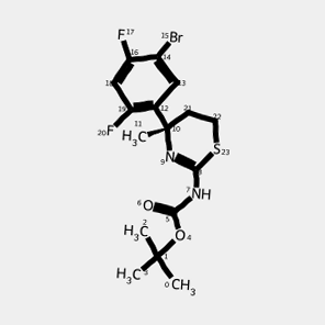 CC(C)(C)OC(=O)NC1=N[C@](C)(c2cc(Br)c(F)cc2F)CCS1